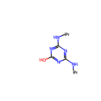 CC(C)Nc1nc(O)nc(NC(C)C)n1